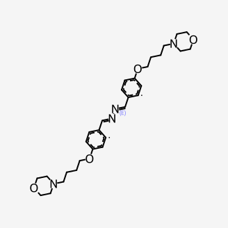 [c]1cc(OCCCCN2CCOCC2)ccc1C=N/N=C/c1[c]cc(OCCCCN2CCOCC2)cc1